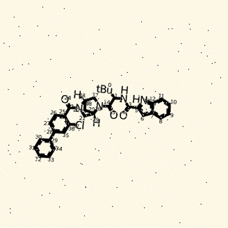 CC(C)(C)C(NC(=O)c1cc2ccccc2[nH]1)C(=O)N1C[C@@H]2C[C@H]1CN2C(=O)c1ccc(-c2ccccc2)cc1Cl